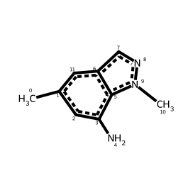 Cc1cc(N)c2c(cnn2C)c1